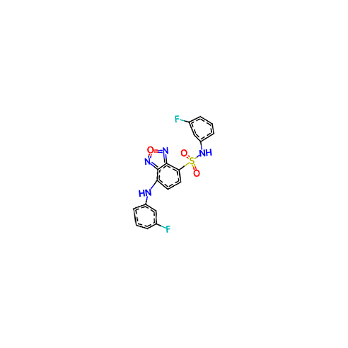 O=S(=O)(Nc1cccc(F)c1)c1ccc(Nc2cccc(F)c2)c2nonc12